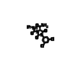 CC(C)NC(=O)N1C(=O)N(c2cc(Cl)cc(Cl)c2)C(=O)C1C(N)=O